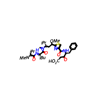 CCC(C)[C@H](NC(=O)[C@@H](NC)C(C)C)C(=O)N(C)[C@H](CC(OC)c1nc(C(=O)N[C@@H](Cc2ccccc2)C(=O)CC(=O)O)cs1)C(C)C